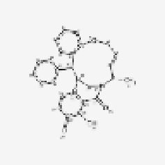 C[C@H]1/C=C/COc2ccccc2[C@H](c2ccccc2)N2CN1C(=O)c1c(O)c(=O)ccn12